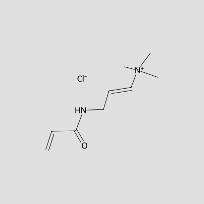 C=CC(=O)NCC=C[N+](C)(C)C.[Cl-]